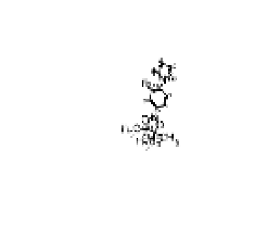 CC1(C)OB(c2ccc(-n3nccn3)c(F)c2)OC1(C)C